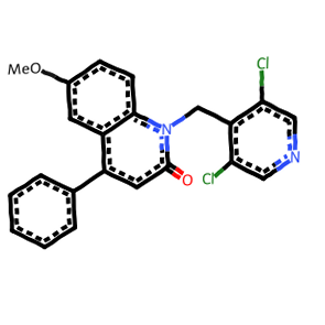 COc1ccc2c(c1)c(-c1ccccc1)cc(=O)n2Cc1c(Cl)cncc1Cl